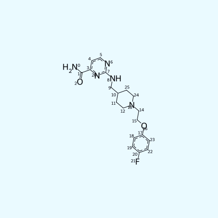 NC(=O)c1ccnc(NCC2CCN(CCOc3ccc(F)cc3)CC2)n1